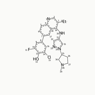 [CH2][CH]c1cnc2ccc(-c3cc(F)c(O)c(Cl)c3)cc2c1Nc1cnn(C2CCN(C)C2)c1